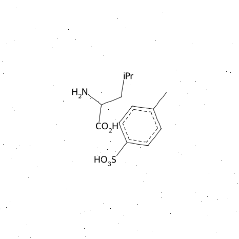 CC(C)CC(N)C(=O)O.Cc1ccc(S(=O)(=O)O)cc1